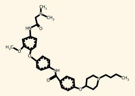 CCCCN1CCC(Oc2ccc(C(=O)Nc3ccc(Oc4ccc(NC(=O)CN(C)C)cc4OC)cc3)cc2)CC1